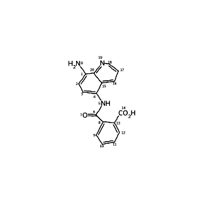 Nc1ccc(NC(=O)c2ccccc2C(=O)O)c2cccnc12